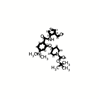 CN(C)c1ccc(C(=O)Nc2cscc2C=O)c(OC2CCN(C(=O)OC(C)(C)C)CC2)c1